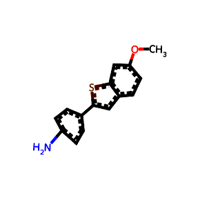 COc1ccc2cc(-c3ccc(N)cc3)sc2c1